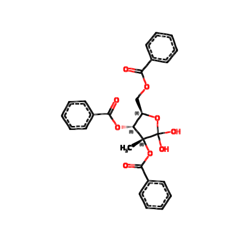 C[C@@]1(OC(=O)c2ccccc2)[C@H](OC(=O)c2ccccc2)[C@@H](COC(=O)c2ccccc2)OC1(O)O